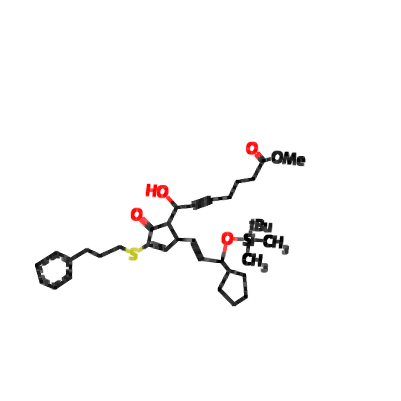 COC(=O)CCCC#CC(O)C1C(=O)C(SCCCc2ccccc2)=CC1C=CC(O[Si](C)(C)C(C)(C)C)C1CCCC1